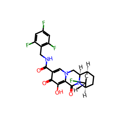 O=C(NCc1c(F)cc(F)cc1F)c1cn2c(c(O)c1=O)C(=O)N1[C@@H]3CC[C@@H](C[C@H]3F)[C@@H]1C2